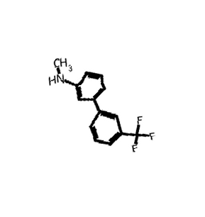 CNc1cccc(-c2cccc(C(F)(F)F)c2)c1